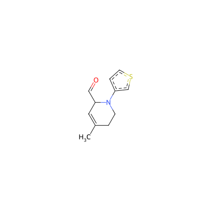 CC1=CC(C=O)N(c2ccsc2)CC1